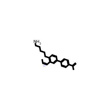 C=C(C)c1ccc(-c2ccc(CCCCCN)c(/C=C\C)c2)cc1